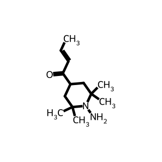 CC=CC(=O)C1CC(C)(C)N(N)C(C)(C)C1